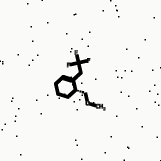 COC[C@@H]1CCCC=C1CC(F)(F)F